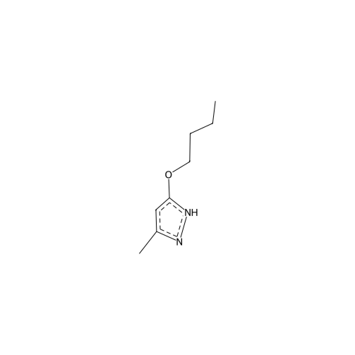 CCCCOc1cc(C)n[nH]1